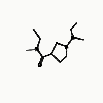 CCN(C)C(=O)C1CCN(N(C)CC)C1